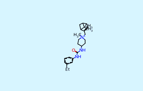 CCc1cccc(NC(=O)NC2CC[N+](C)(CC3=CCC4CC3C4(C)C)CC2)c1